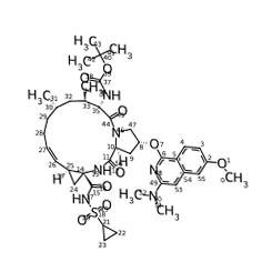 COc1ccc2c(O[C@@H]3C[C@H]4C(=O)N[C@]5(C(=O)NS(=O)(=O)C6CC6)C[C@H]5/C=C\CC[C@H](C)C[C@@H](C)[C@H](NC(=O)OC(C)(C)C)C(=O)N4C3)nc(N(C)C)cc2c1